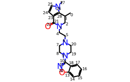 CC1CN(CCN2CCN(c3noc4ccccc34)CC2)C(=O)c2ccn(C)c21